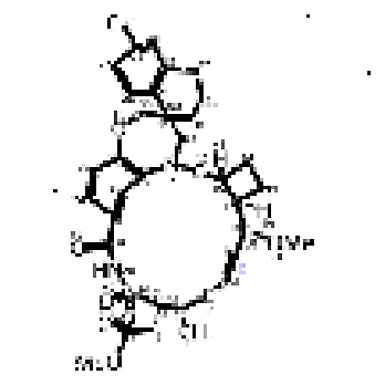 COC(=O)C[C@H]1[C@@H](C)C/C=C/[C@H](OC)[C@@H]2CC[C@H]2CN2C[C@@]3(CCCc4cc(Cl)ccc43)COc3ccc(cc32)C(=O)NS1(=O)=O